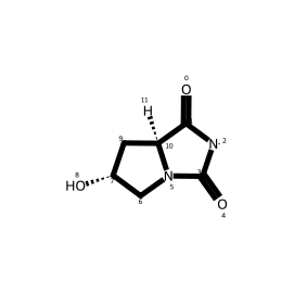 O=C1[N]C(=O)N2C[C@H](O)C[C@@H]12